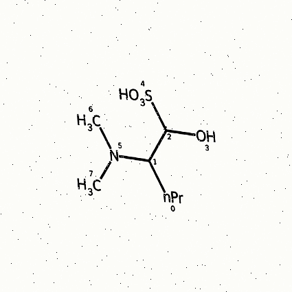 CCCC([C](O)S(=O)(=O)O)N(C)C